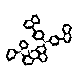 c1ccc(N(c2ccccc2)c2cccc3c2Oc2cc(N(c4ccc(-c5cccc6ccccc56)cc4)c4ccc(-c5cccc6ccccc56)cc4)cc4cccc-3c24)cc1